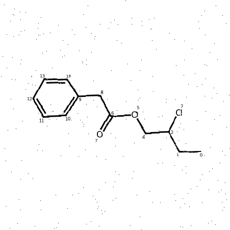 CCC(Cl)COC(=O)Cc1ccccc1